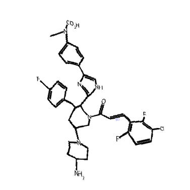 CN(C(=O)O)c1ccc(-c2c[nH]c(C3C(c4ccc(F)cc4)CC(N4CCC(N)CC4)CN3C(=O)/C=C/c3c(F)ccc(Cl)c3F)n2)cc1